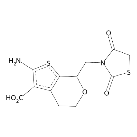 Nc1sc2c(c1C(=O)O)CCOC2CN1C(=O)CSC1=O